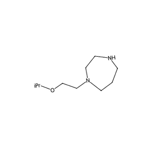 CC(C)OCCN1CCCNCC1